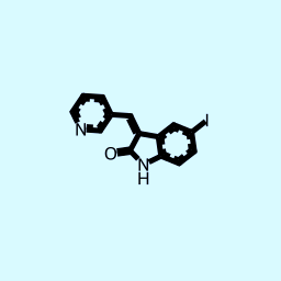 O=C1Nc2ccc(I)cc2C1=Cc1cccnc1